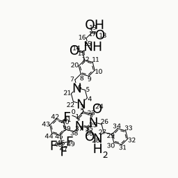 Cc1c(N2CCN(Cc3cccc(C(=O)NCC(=O)O)c3)CC2)c(=O)n(CC(N)c2ccccc2)c(=O)n1Cc1c(F)cccc1C(F)(F)F